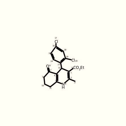 CCOC(=O)C1=C(C)NC2=C(C(=O)CCC2)C1c1ccc(Cl)cc1Cl